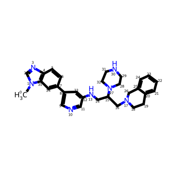 Cn1cnc2ccc(-c3cncc(NCC(CN4CCc5ccccc5C4)N4CCNCC4)c3)cc21